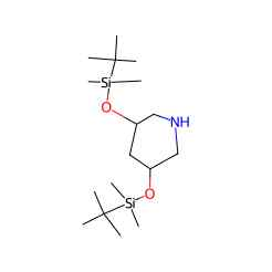 CC(C)(C)[Si](C)(C)OC1CNCC(O[Si](C)(C)C(C)(C)C)C1